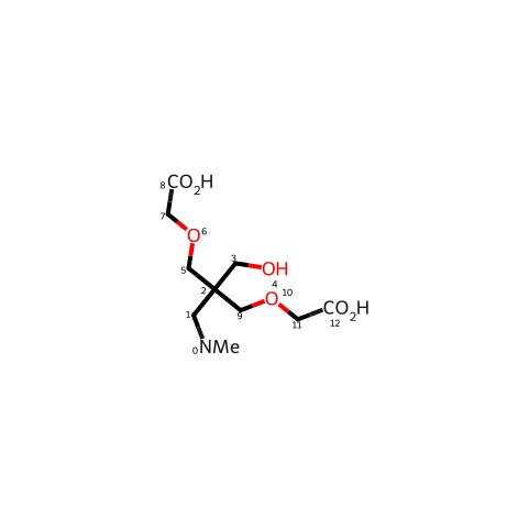 CNCC(CO)(COCC(=O)O)COCC(=O)O